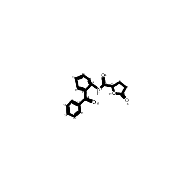 O=C1CCC(C(=O)Nc2ccccc2C(=O)c2ccccc2)O1